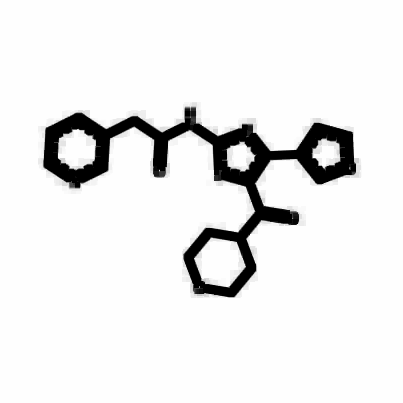 O=C(Cc1cccnc1)Nc1nc(-c2ccoc2)c(C(=O)C2CCOCC2)s1